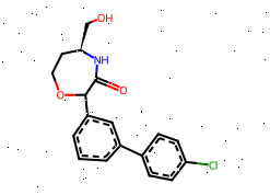 O=C1N[C@H](CO)CCOC1c1cccc(-c2ccc(Cl)cc2)c1